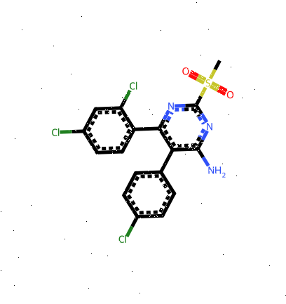 CS(=O)(=O)c1nc(N)c(-c2ccc(Cl)cc2)c(-c2ccc(Cl)cc2Cl)n1